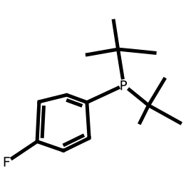 CC(C)(C)P(c1ccc(F)cc1)C(C)(C)C